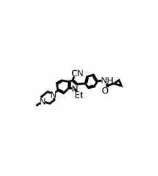 CCn1c(-c2ccc(NC(=O)C3CC3)cc2)c(C#N)c2ccc(N3CCN(C)CC3)cc21